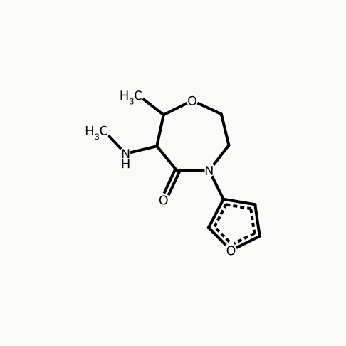 CNC1C(=O)N(c2ccoc2)CCOC1C